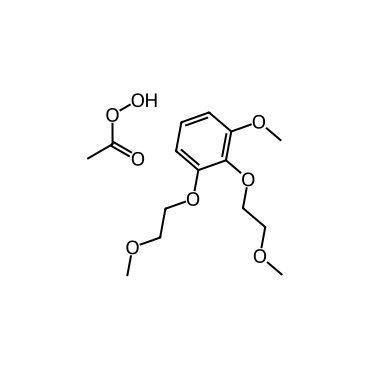 CC(=O)OO.COCCOc1cccc(OC)c1OCCOC